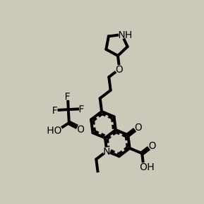 CCn1cc(C(=O)O)c(=O)c2cc(CCCOC3CCNC3)ccc21.O=C(O)C(F)(F)F